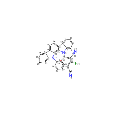 N#Cc1ccc(-n2c3ccccc3c3ccc4c5ccccc5n(-c5ccccc5)c4c32)c(C#N)c1F